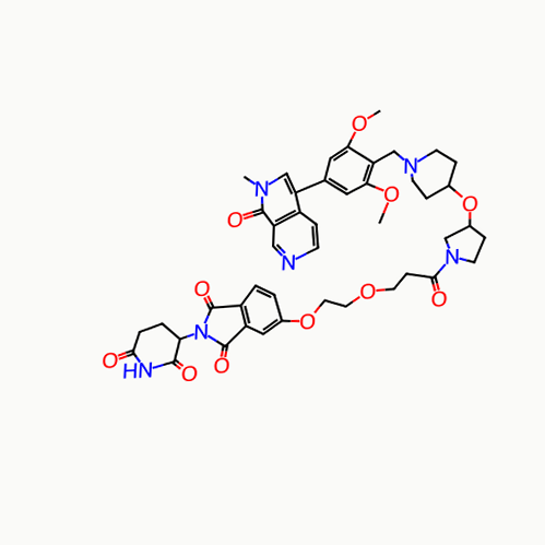 COc1cc(-c2cn(C)c(=O)c3cnccc23)cc(OC)c1CN1CCC(OC2CCN(C(=O)CCOCCOc3ccc4c(c3)C(=O)N(C3CCC(=O)NC3=O)C4=O)C2)CC1